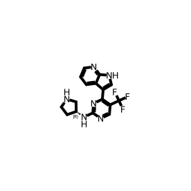 FC(F)(F)c1cnc(N[C@@H]2CCNC2)nc1-c1c[nH]c2ncccc12